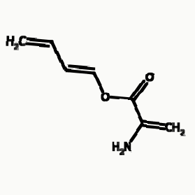 C=CC=COC(=O)C(=C)N